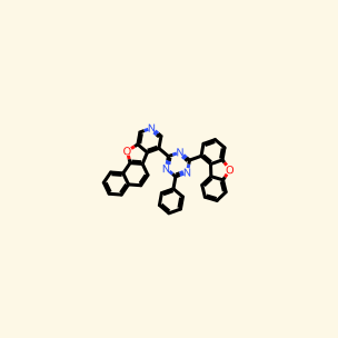 c1ccc(-c2nc(-c3cccc4oc5ccccc5c34)nc(-c3cncc4oc5c6ccccc6ccc5c34)n2)cc1